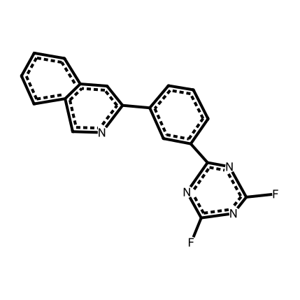 Fc1nc(F)nc(-c2cccc(-c3cc4ccccc4cn3)c2)n1